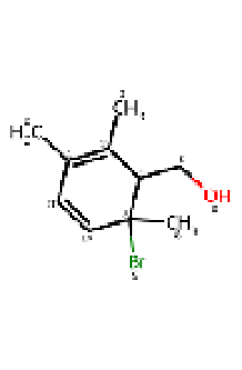 CC1=C(C)C(CO)C(C)(Br)C=C1